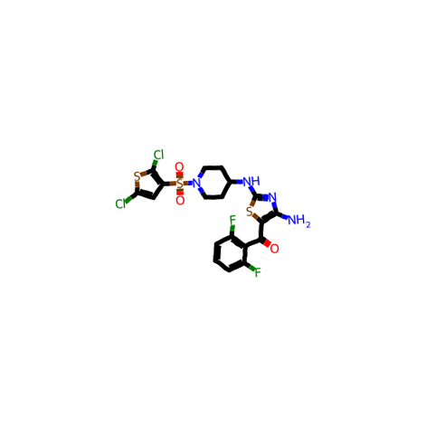 Nc1nc(NC2CCN(S(=O)(=O)c3cc(Cl)sc3Cl)CC2)sc1C(=O)c1c(F)cccc1F